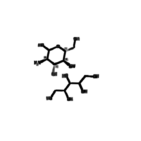 N[C@H]1C(O)O[C@H](CO)[C@@H](O)[C@@H]1O.OCC(O)C(O)C(O)CO